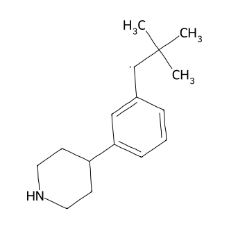 CC(C)(C)[CH]c1cccc(C2CCNCC2)c1